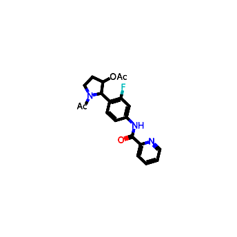 CC(=O)OC1CCN(C(C)=O)C1c1ccc(NC(=O)c2ccccn2)cc1F